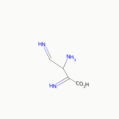 N=CC(N)C(=N)C(=O)O